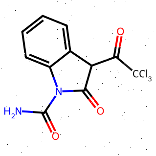 NC(=O)N1C(=O)C(C(=O)C(Cl)(Cl)Cl)c2ccccc21